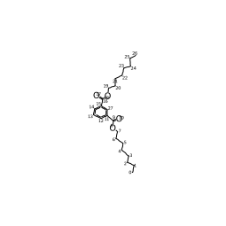 CCCCCCCCOC(=O)c1cccc(C(=O)OCCCCCCCC)c1